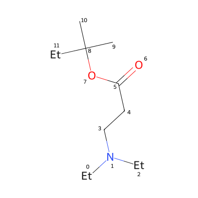 CCN(CC)CCC(=O)OC(C)(C)CC